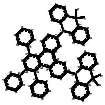 CC1(C)c2ccccc2N(c2ccc3c(c2)c2cc(N4c5ccccc5C(C)(C)c5ccccc54)ccc2c2c(-c4ccccc4)c(-c4ccccc4)cc(-c4ccccc4)c32)c2ccccc21